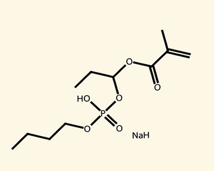 C=C(C)C(=O)OC(CC)OP(=O)(O)OCCCC.[NaH]